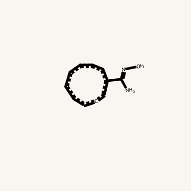 N/C(=N\O)c1ccccccccc1